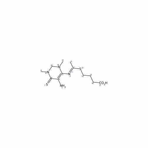 C/C(=N\C1=C(N)C(=S)N(C)CN1C)SCCCC(=O)O